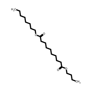 CCCCCCCCOC(=O)CCCCCCCCC(=O)OCCCC